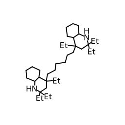 CCC1(CC)CC(CC)(CCCCCCC2(CC)CC(CC)(CC)NC3CCCCC32)C2CCCCC2N1